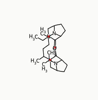 CCN1CC2CCC(C1=O)N2C(C)CCC(C)N1CC2CCC(C1=O)N2C(C)C